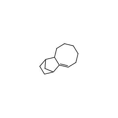 C1=C2C3CCC(C3)C2CCCCC1